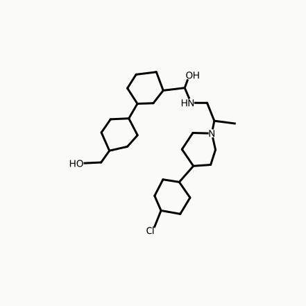 CC(CNC(O)C1CCCC(C2CCC(CO)CC2)C1)N1CCC(C2CCC(Cl)CC2)CC1